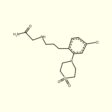 NC(=O)CNCCCc1ccc(Cl)cc1N1CCS(=O)(=O)CC1